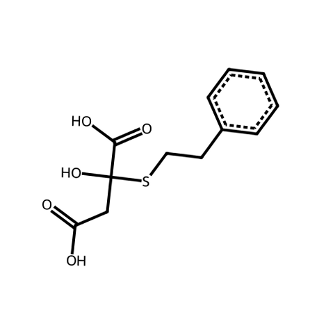 O=C(O)CC(O)(SCCc1ccccc1)C(=O)O